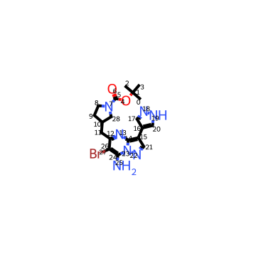 CC(C)(C)OC(=O)N1CCC(Cc2nc3c(-c4cn[nH]c4)cnn3c(N)c2Br)C1